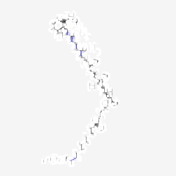 CCCCCCCC/C=C\CCCCCCCC(=O)OCCCO[PH](=O)OCCNC(=O)CCCC(=O)OC/C=C(C)/C=C/C=C(C)/C=C/C1=C(C)CCCC1(C)C